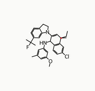 CC/C=C(\C(Nc1cc(C)cc(OC)c1)c1ccc(Cl)cc1CCC)N1CCC2=C=C=C(C(C)(C)F)C=C21